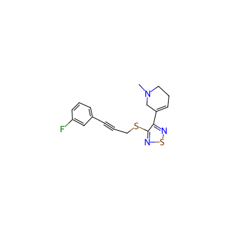 CN1CCC=C(c2nsnc2SCC#Cc2cccc(F)c2)C1